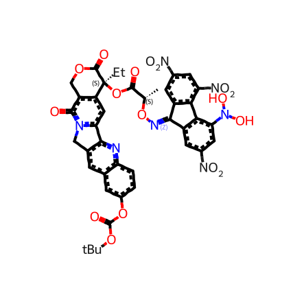 CC[C@@]1(OC(=O)[C@H](C)O/N=C2/c3cc([N+](=O)[O-])cc(N(O)O)c3-c3c2cc([N+](=O)[O-])cc3[N+](=O)[O-])C(=O)OCc2c1cc1n(c2=O)Cc2cc3cc(OC(=O)OC(C)(C)C)ccc3nc2-1